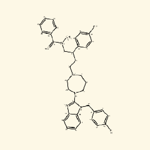 CN(CC(CCN1CCCN(c2nc3ccccc3n2Cc2ccc(F)cc2)CC1)c1ccc(F)cc1)C(=O)c1ccccc1